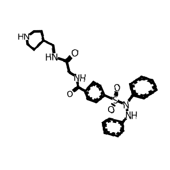 O=C(CNC(=O)c1ccc(S(=O)(=O)N(Nc2ccccc2)c2ccccc2)cc1)NCC1CCNCC1